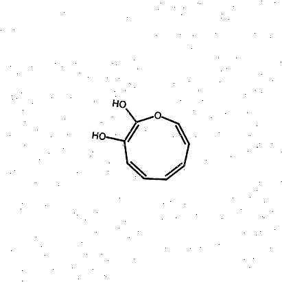 Oc1ccccccoc1O